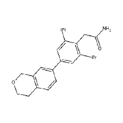 CC(C)c1cc(-c2ccc3c(c2)COCC3)cc(C(C)C)c1CC(N)=O